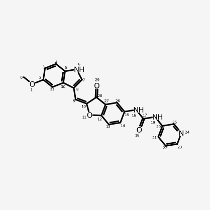 COc1ccc2[nH]cc(C=C3Oc4ccc(NC(=O)Nc5cccnc5)cc4C3=O)c2c1